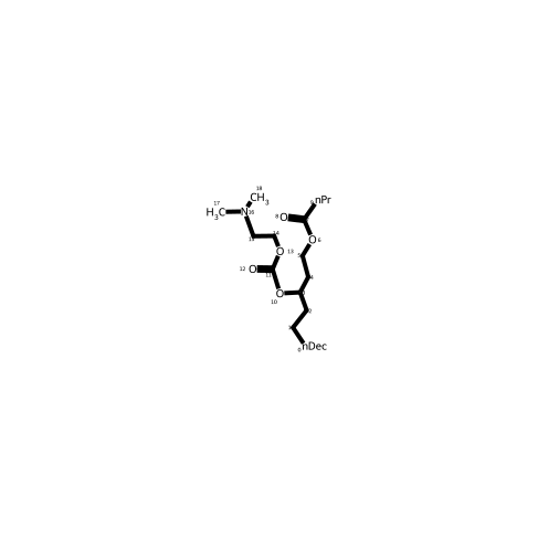 CCCCCCCCCCCCC(CCOC(=O)CCC)OC(=O)OCCN(C)C